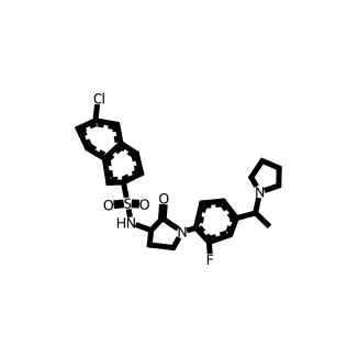 CC(c1ccc(N2CCC(NS(=O)(=O)c3ccc4cc(Cl)ccc4c3)C2=O)c(F)c1)N1CCCC1